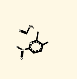 Cc1ccc([N+](=O)[O-])nc1C.NC=O